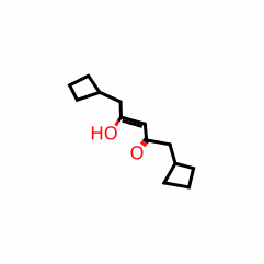 O=C(/C=C(\O)CC1CCC1)CC1CCC1